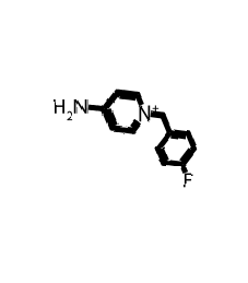 Nc1cc[n+](Cc2ccc(F)cc2)cc1